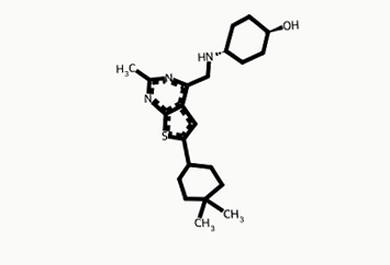 Cc1nc(CN[C@H]2CC[C@H](O)CC2)c2cc(C3CCC(C)(C)CC3)sc2n1